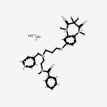 CN(CCN(CCCOc1ccc2c(c1)N(C)C(=O)C(C)(C)C(=O)N2C)Cc1ccncc1)C(=O)c1ccccc1.Cl.Cl